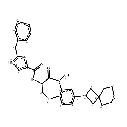 CN1C(=O)C(NC(=O)c2n[nH]c(Cc3ccccc3)n2)COc2ccc(N3CC4(CCOCC4)C3)cc21